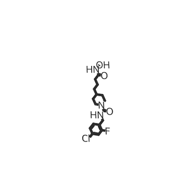 O=C(CCCC1CCN(C(=O)NCc2ccc(Cl)cc2F)CC1)NO